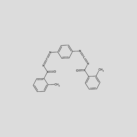 Cc1ccccc1C(=O)N=C=Nc1ccc(N=C=NC(=O)c2ccccc2C)cc1